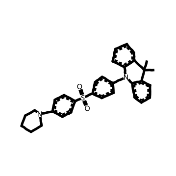 CC1(C)c2ccccc2N(c2ccc(S(=O)(=O)c3ccc(N4CCCCC4)cc3)cc2)c2ccccc21